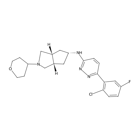 Fc1ccc(Cl)c(-c2ccc(N[C@@H]3C[C@@H]4CN(C5CCOCC5)C[C@@H]4C3)nn2)c1